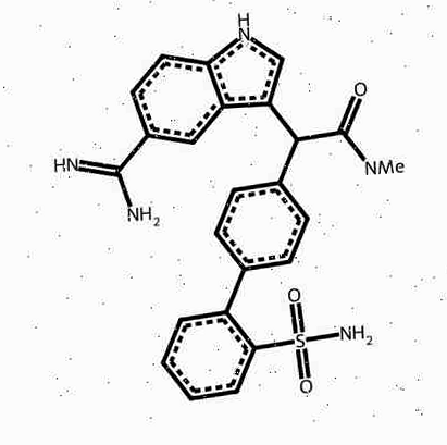 CNC(=O)C(c1ccc(-c2ccccc2S(N)(=O)=O)cc1)c1c[nH]c2ccc(C(=N)N)cc12